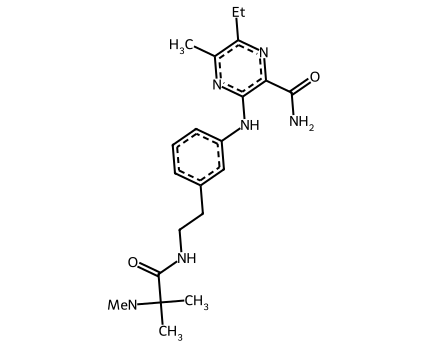 CCc1nc(C(N)=O)c(Nc2cccc(CCNC(=O)C(C)(C)NC)c2)nc1C